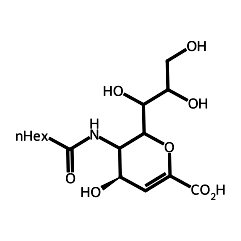 CCCCCCC(=O)NC1C(C(O)C(O)CO)OC(C(=O)O)=C[C@H]1O